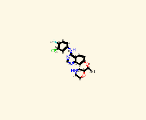 CCC(Oc1ccc2c(Nc3ccc(F)c(Cl)c3)ncnc2c1)C1CNCCO1